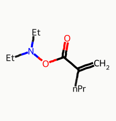 C=C(CCC)C(=O)ON(CC)CC